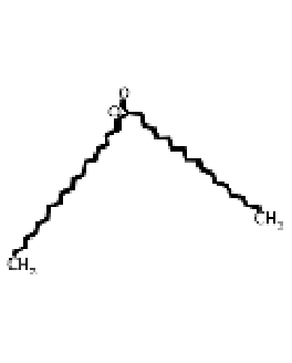 CCCCCCCCC=CCCCCCCCCC=C1OC(=O)C1CCCCCCCCC=CCCCCCCCC